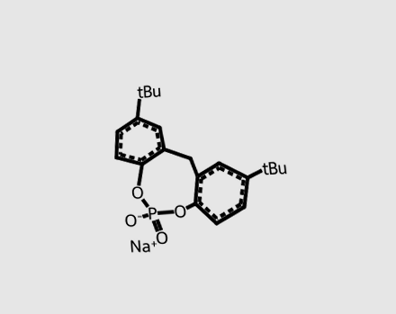 CC(C)(C)c1ccc2c(c1)Cc1cc(C(C)(C)C)ccc1OP(=O)([O-])O2.[Na+]